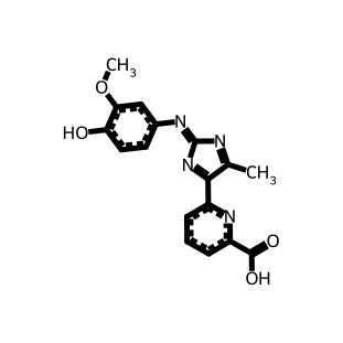 COc1cc(N=C2N=C(C)C(c3cccc(C(=O)O)n3)=N2)ccc1O